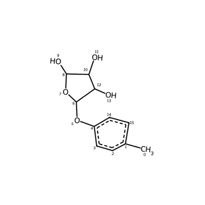 Cc1ccc(OC2OC(O)C(O)C2O)cc1